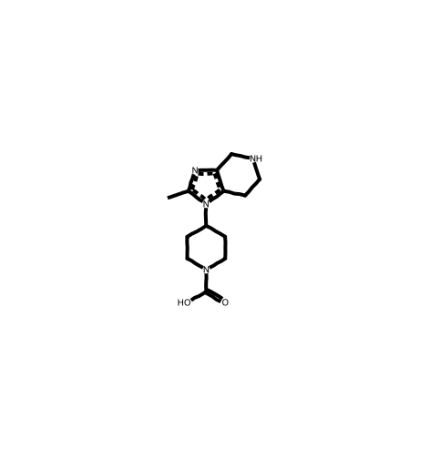 Cc1nc2c(n1C1CCN(C(=O)O)CC1)CCNC2